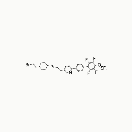 Fc1c(F)c(-c2ccc(-c3ccc(CC/C=C/C4CCC(/C=C/Br)CC4)cn3)cc2)c(F)c(F)c1OC(F)(F)F